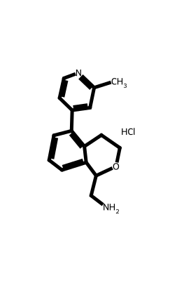 Cc1cc(-c2cccc3c2CCOC3CN)ccn1.Cl